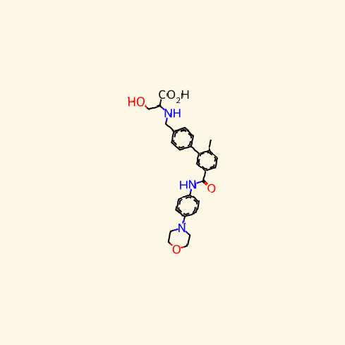 Cc1ccc(C(=O)Nc2ccc(N3CCOCC3)cc2)cc1-c1ccc(CNC(CO)C(=O)O)cc1